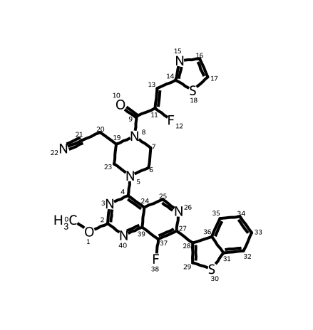 COc1nc(N2CCN(C(=O)/C(F)=C/c3nccs3)C(CC#N)C2)c2cnc(-c3csc4ccccc34)c(F)c2n1